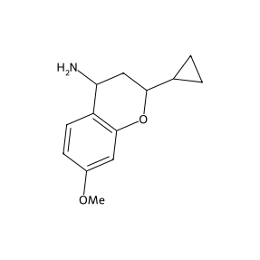 COc1ccc2c(c1)OC(C1CC1)CC2N